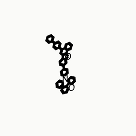 c1ccc(-c2ccc(-c3cc4c5ccc(-c6ccc(N(c7ccccc7)c7cccc8oc9ccccc9c78)cc6)cc5oc4c4ccccc34)cc2)cc1